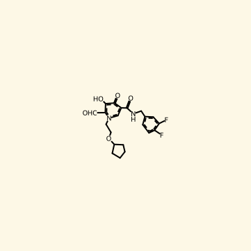 O=Cc1c(O)c(=O)c(C(=O)NCc2ccc(F)c(F)c2)cn1CCOC1CCCC1